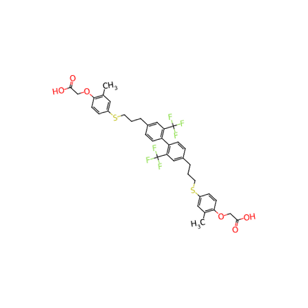 Cc1cc(SCCCc2ccc(-c3ccc(CCCSc4ccc(OCC(=O)O)c(C)c4)cc3C(F)(F)F)c(C(F)(F)F)c2)ccc1OCC(=O)O